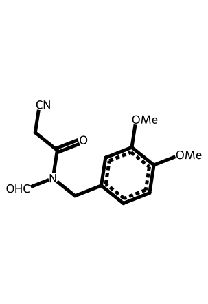 COc1ccc(CN(C=O)C(=O)CC#N)cc1OC